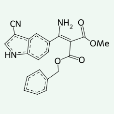 COC(=O)C(C(=O)OCc1ccccc1)=C(N)c1ccc2[nH]cc(C#N)c2c1